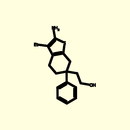 CCc1c(N)sc2c1CCC(CCO)(c1ccccc1)C2